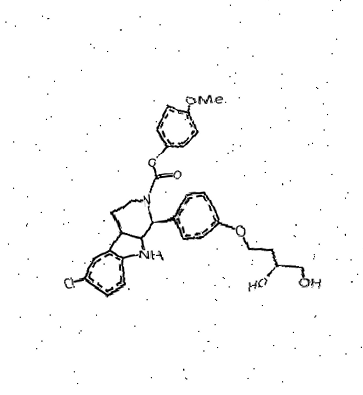 COc1ccc(OC(=O)N2CCC3c4cc(Cl)ccc4NC3[C@@H]2c2ccc(OCC[C@H](O)CO)cc2)cc1